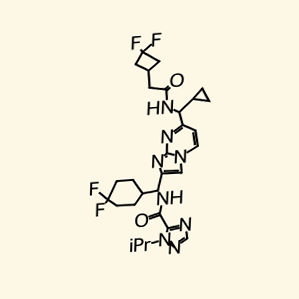 CC(C)n1ncnc1C(=O)NC(c1cn2ccc(C(NC(=O)CC3CC(F)(F)C3)C3CC3)nc2n1)C1CCC(F)(F)CC1